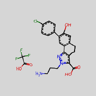 NCCCn1nc2c(c1C(=O)O)CCc1cc(O)c(-c3ccc(Cl)cc3)cc1-2.O=C(O)C(F)(F)F